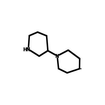 [CH]1CCN(C2CCCNC2)CC1